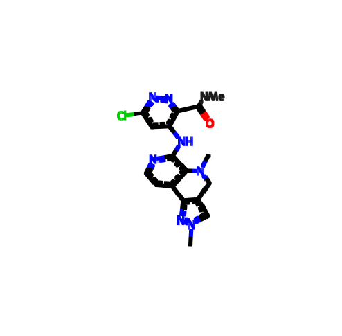 CNC(=O)c1nnc(Cl)cc1Nc1nccc2c1N(C)Cc1cn(C)nc1-2